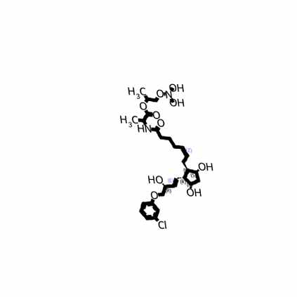 CC(CON(O)O)OC(=O)C(C)NC(=O)CCC/C=C\C[C@@H]1[C@@H](/C=C/[C@@H](O)COc2cccc(Cl)c2)[C@H](O)C[C@@H]1O